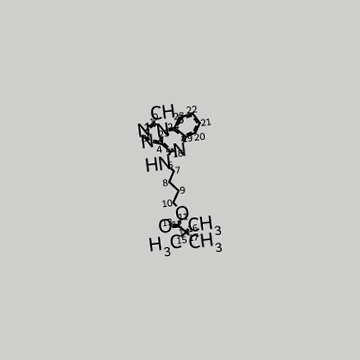 Cc1nnc2c(NCCCCOC(=O)C(C)(C)C)nc3ccccc3n12